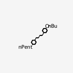 CCCCCc1ccc(C=CC=Cc2ccc(OCCCC)cc2)cc1